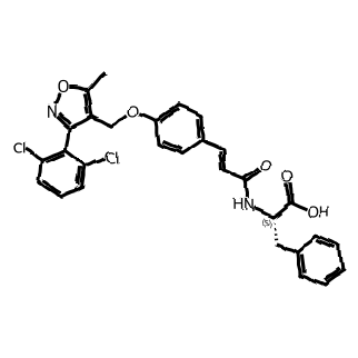 Cc1onc(-c2c(Cl)cccc2Cl)c1COc1ccc(C=CC(=O)N[C@@H](Cc2ccccc2)C(=O)O)cc1